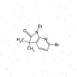 CCN1C(=O)C(C)(C)c2ccc(Br)nc21